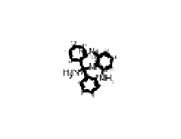 NC(N)(c1ccccc1)c1ccccc1.Nc1cccc(N)c1